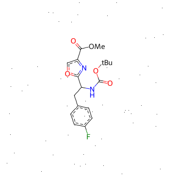 COC(=O)c1coc(C(Cc2ccc(F)cc2)NC(=O)OC(C)(C)C)n1